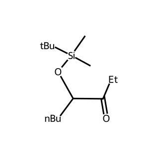 CCCCC(O[Si](C)(C)C(C)(C)C)C(=O)CC